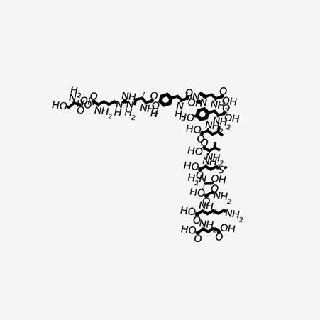 CC(C)C[C@H](N)C(=O)O.CC(C)[C@H](N)C(=O)O.CC[C@H](C)[C@H](N)C(=O)O.CSCC[C@H](N)C(=O)O.C[C@H](N)C(=O)O.N=C(N)NCCC[C@H](N)C(=O)O.NCC(=O)O.NCCCC[C@H](N)C(=O)O.N[C@@H](CCC(=O)O)C(=O)O.N[C@@H](CO)C(=O)O.N[C@@H](Cc1c[nH]cn1)C(=O)O.N[C@@H](Cc1ccc(O)cc1)C(=O)O.N[C@@H](Cc1ccccc1)C(=O)O